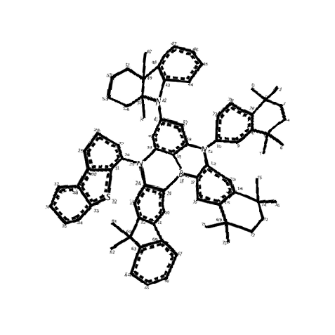 CC1(C)CCC(C)(C)c2cc(N3c4cc5c(cc4B4c6cc7c(cc6N(c6cccc8c6sc6ccccc68)c6cc(N8c9ccccc9C9(C)CCCCC89C)cc3c64)C(C)(C)c3ccccc3-7)C(C)(C)CCC5(C)C)ccc21